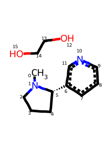 CN1CCC[C@H]1c1cccnc1.OCCO